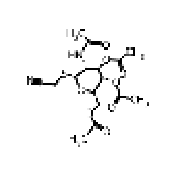 CC(=O)N[C@@H]1[C@@H](OC(C)=O)[C@H](OC(C)=O)[C@@H](COC(C)=O)O[C@H]1SCC#N